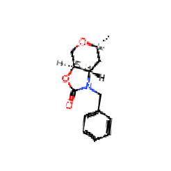 C[C@@H]1C[C@H]2[C@H](CO1)OC(=O)N2Cc1ccccc1